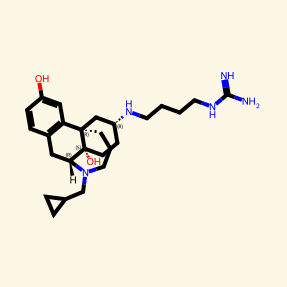 N=C(N)NCCCCN[C@@H]1CC[C@@]2(O)[C@H]3Cc4ccc(O)cc4[C@@]2(CCCN3CC2CC2)C1